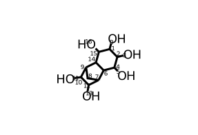 OC1C(O)C(O)C2C3CC(C(O)C3O)C2C1O